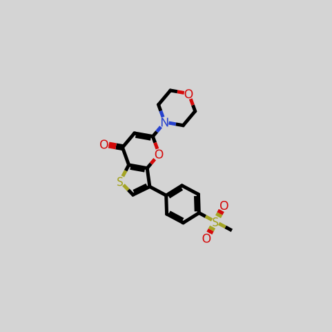 CS(=O)(=O)c1ccc(-c2csc3c(=O)cc(N4CCOCC4)oc23)cc1